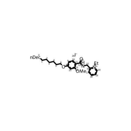 CCCCCCCCCCCCCCCCOc1ccc(C(=O)NCc2cccc[n+]2CC)c(OC)c1.[I-]